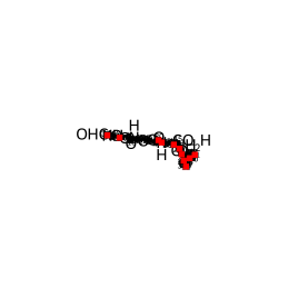 O=CNCCOCCOCC(=O)NCCOCCOCC(=O)NCCCCC(NC(=O)OCC1c2ccccc2-c2ccccc21)C(=O)O